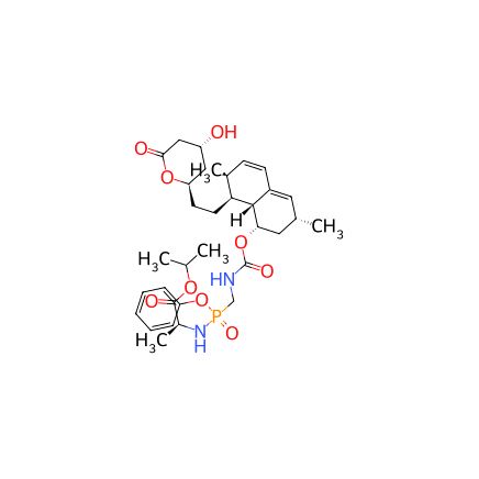 CC(C)OC(=O)[C@H](C)NP(=O)(CNC(=O)O[C@H]1C[C@@H](C)C=C2C=C[C@H](C)[C@H](CC[C@@H]3C[C@@H](O)CC(=O)O3)[C@H]21)Oc1ccccc1